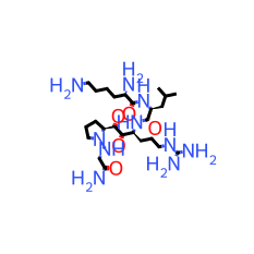 CC(C)C[C@H](NC(=O)[C@@H](N)CCCCN)C(=O)N[C@@H](CCCNC(N)N)C(=O)C(=O)[C@@H]1CCCN1NCC(N)=O